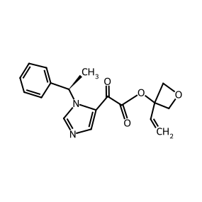 C=CC1(OC(=O)C(=O)c2cncn2[C@H](C)c2ccccc2)COC1